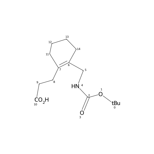 CC(C)(C)OC(=O)NCC1=C(CCC(=O)O)CCCC1